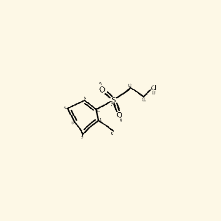 Cc1ccccc1S(=O)(=O)CCCl